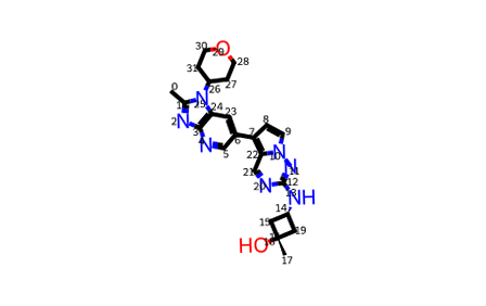 Cc1nc2ncc(-c3ccn4nc(N[C@H]5C[C@@](C)(O)C5)ncc34)cc2n1C1CCOCC1